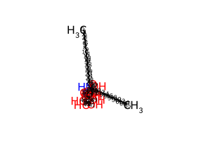 CCCCCCCCCCCCCCCCCCCCCCCCCC(=O)N[C@@H](COP(=O)(O)OC1C(O)C(O)C(O)[C@@H](O)C1O)[C@H](O)[C@H](O)CCCCCCCCCCCCCCCC